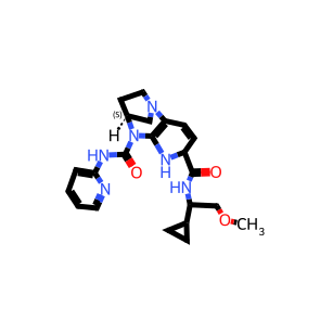 COCC(NC(=O)C1C=CC2=C(N1)N(C(=O)Nc1ccccn1)[C@H]1CCN2C1)C1CC1